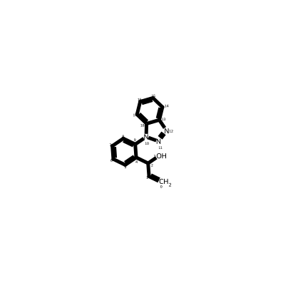 C=CC(O)c1ccccc1-n1nnc2ccccc21